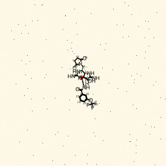 N=C1NC2[C@H](CN3C(=O)CCC3=O)NC(=N)N3CC(NC(=O)c4cccc(OC(F)(F)F)c4)=C(O)C23N1